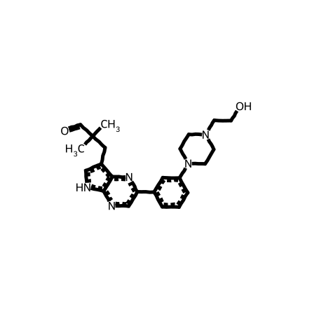 CC(C)(C=O)Cc1c[nH]c2ncc(-c3cccc(N4CCN(CCO)CC4)c3)nc12